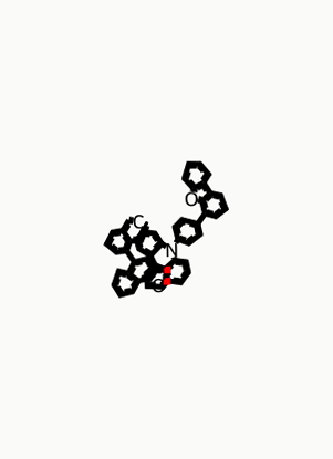 c1ccc(-c2ccccc2N(c2ccc(-c3cccc4c3oc3ccccc34)cc2)c2cccc3oc4c5ccccc5c(-c5cccc6ccccc56)cc4c23)cc1